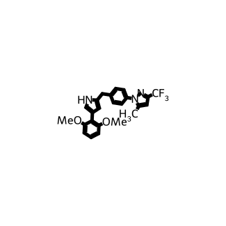 COc1cccc(OC)c1-c1c[nH]c(Cc2ccc(-n3nc(C(F)(F)F)cc3C)cc2)c1